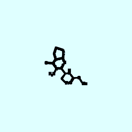 CC(C)C[C@H](NC(=O)OC(C)(C)C)c1nc2ccccc2c(=O)n1N